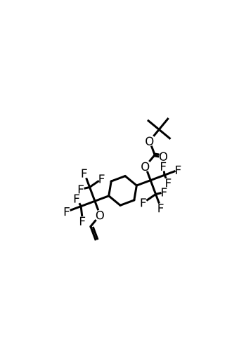 C=COC(C1CCC(C(OC(=O)OC(C)(C)C)(C(F)(F)F)C(F)(F)F)CC1)(C(F)(F)F)C(F)(F)F